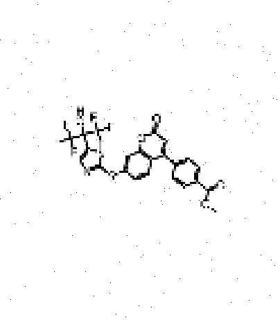 COC(=O)c1ccc(-c2cc(=O)oc3cc(Sc4ncc(C(O)(C(F)(F)F)C(F)(F)F)s4)ccc23)cc1